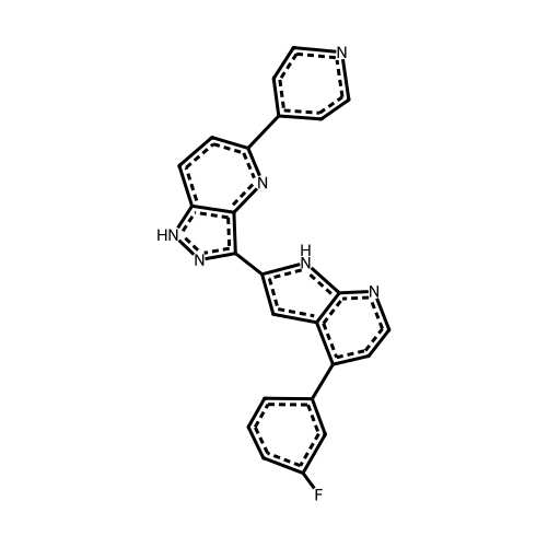 Fc1cccc(-c2ccnc3[nH]c(-c4n[nH]c5ccc(-c6ccncc6)nc45)cc23)c1